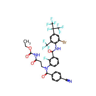 CCOC(=O)NC(=O)CCN(C(=O)c1ccc(C#N)cc1)c1cccc(C(=O)Nc2c(Br)cc(C(F)(C(F)(F)F)C(F)(F)F)cc2C(F)(F)F)c1F